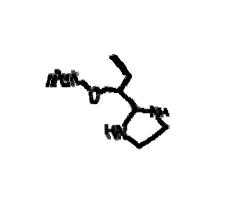 C=CC(OCCCCC)C1NCCN1